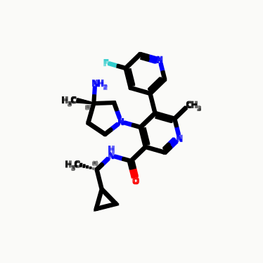 Cc1ncc(C(=O)N[C@@H](C)C2CC2)c(N2CC[C@](C)(N)C2)c1-c1cncc(F)c1